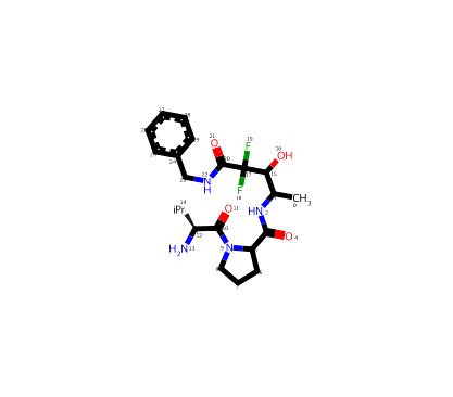 CC(NC(=O)C1CCCN1C(=O)[C@@H](N)C(C)C)C(O)C(F)(F)C(=O)NCc1ccccc1